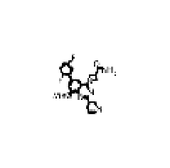 COc1cc(-c2cc(F)ccc2F)cc2c(N3CC(C(N)=O)C3)nc(-c3cccnc3)nc12